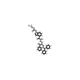 CCOC(=O)Cn1ccc2c(C(=O)NCCN(CCC(c3ccccc3)c3ccccc3)C(=O)c3ccccc3)cccc21